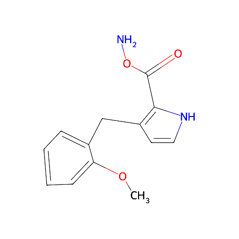 COc1ccccc1Cc1cc[nH]c1C(=O)ON